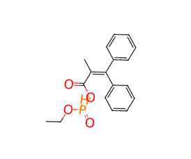 CCO[PH](=O)OC(=O)C(C)=C(c1ccccc1)c1ccccc1